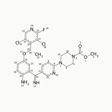 COC(=O)N1CCN(c2ccc(C(=N)c3cc(O[C@@H](C)c4c(Cl)cnc(F)c4Cl)ccc3N)cn2)CC1